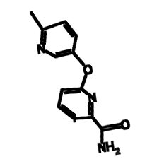 Cc1ccc(Oc2cc[c]c(C(N)=O)n2)cn1